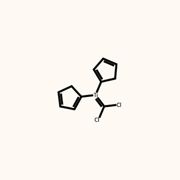 Cl[C](Cl)=[Ti]([C]1=CC=CC1)[C]1=CC=CC1